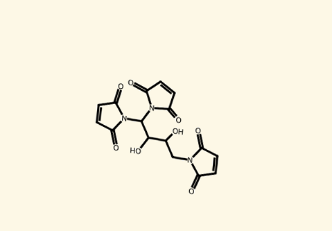 O=C1C=CC(=O)N1CC(O)C(O)C(N1C(=O)C=CC1=O)N1C(=O)C=CC1=O